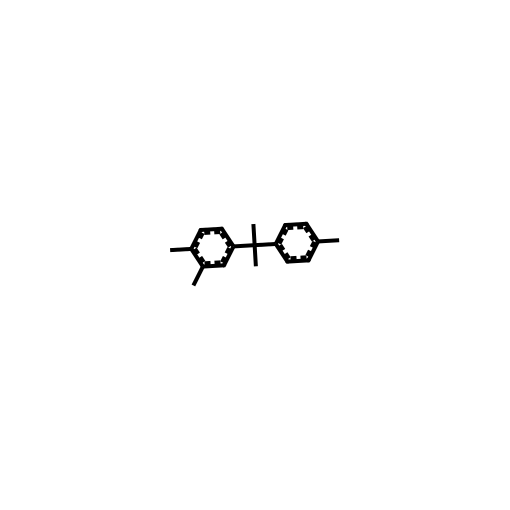 Cc1ccc(C(C)(C)c2ccc(C)c(C)c2)cc1